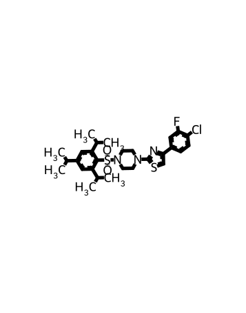 CC(C)c1cc(C(C)C)c(S(=O)(=O)N2CCN(c3nc(-c4ccc(Cl)c(F)c4)cs3)CC2)c(C(C)C)c1